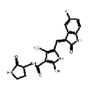 Cc1[nH]c(/C=C2\C(=O)Nc3ccc(F)cc32)c(C)c1C(=O)NC1CCNC1=O